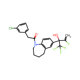 C=C(F)C(O)(c1ccc2c(c1)CCCCN2C(=O)Cc1cccc(Cl)c1)C(F)(F)F